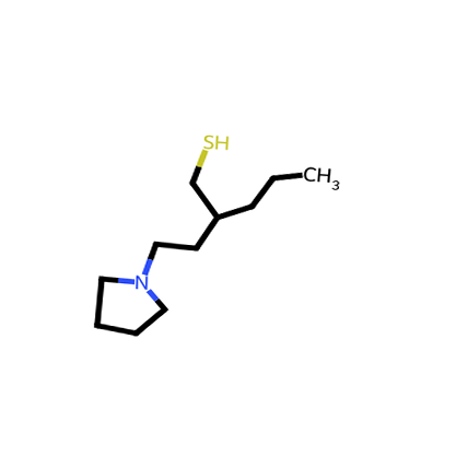 CCCC(CS)CCN1CCCC1